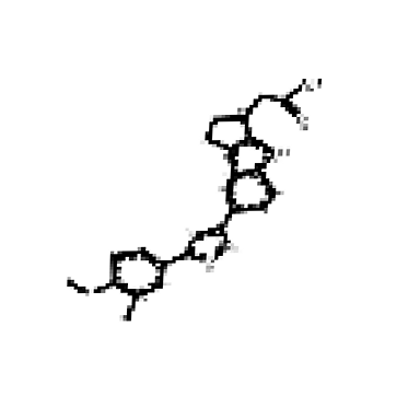 COc1ccc(-c2nc(-c3ccc4[nH]c5c(c4c3)CCC5CC(=O)O)no2)cc1C